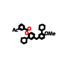 COc1ccc(Cc2ccc(OC(=O)c3cccc(C(C)=O)c3)c(C3CCCCC3)c2)cc1C1CCCCC1